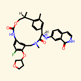 Cc1cc2ccc1[C@@H](C)COC(=O)Nc1cc(F)c(OC3CCOC3)c(c1)CN(C)C(=O)[C@@H]2Nc1ccc2cc[nH]c(=O)c2c1